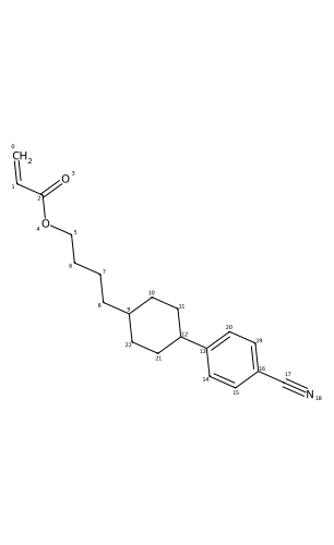 C=CC(=O)OCCCCC1CCC(c2ccc(C#N)cc2)CC1